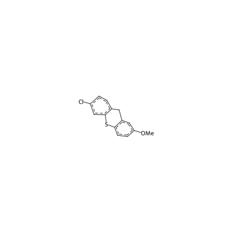 COc1ccc2c(c1)Cc1ccc(Cl)cc1S2